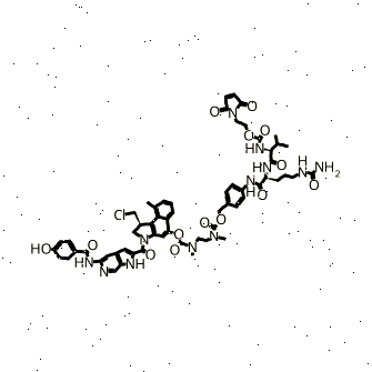 Cc1cccc2c(OC(=O)N(C)CCN(C)C(=O)OCc3ccc(NC(=O)[C@H](CCCNC(N)=O)NC(=O)[C@@H](NC(=O)OCCN4C(=O)C=CC4=O)C(C)C)cc3)cc3c(c12)[C@H](CCl)CN3C(=O)c1cc2cc(NC(=O)C3=CC=C(O)CC3)ncc2[nH]1